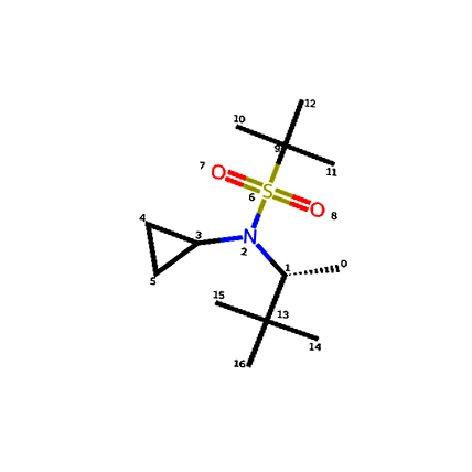 C[C@@H](N(C1CC1)S(=O)(=O)C(C)(C)C)C(C)(C)C